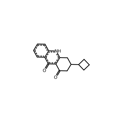 O=C1CC(C2CCC2)Cc2[nH]c3ccccc3c(=O)c21